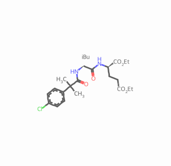 CCOC(=O)CC[C@@H](NC(=O)[C@@H](NC(=O)C(C)(C)c1ccc(Cl)cc1)[C@H](C)CC)C(=O)OCC